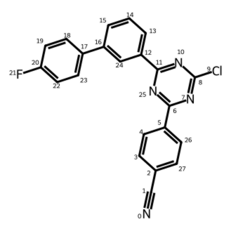 N#Cc1ccc(-c2nc(Cl)nc(-c3cccc(-c4ccc(F)cc4)c3)n2)cc1